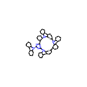 c1ccc2c(c1)c1ccccc1n2-c1nc2nc(n1)n1c3ccccc3c3ccc(cc31)c1cccc3c4ccccc4n(c4ccc5c6ccccc6n(c6ccccc26)c5c4)c13